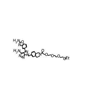 CCOCCOCCOCCOCC(=O)N1CCc2cc(Cn3nc(-c4ccc5oc(N)nc5c4)c4c(N)ncnc43)ccc2C1